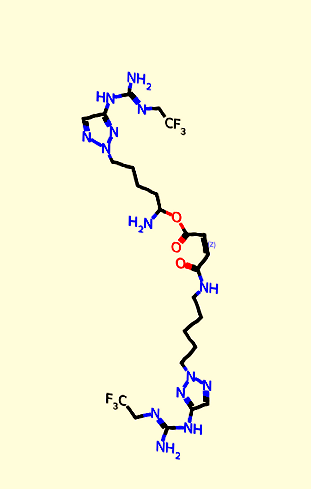 NC(=NCC(F)(F)F)Nc1cnn(CCCCCNC(=O)/C=C\C(=O)OC(N)CCCCn2ncc(NC(N)=NCC(F)(F)F)n2)n1